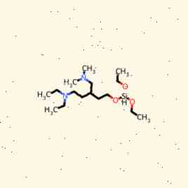 CCO[SiH](OCC)OCCC(CCN(CC)CC)CN(C)C